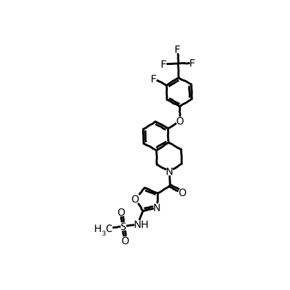 CS(=O)(=O)Nc1nc(C(=O)N2CCc3c(cccc3Oc3ccc(C(F)(F)F)c(F)c3)C2)co1